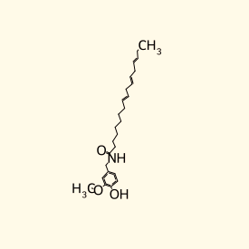 CC/C=C/C/C=C/C/C=C/CCCCCCCC(=O)NCc1ccc(O)c(OC)c1